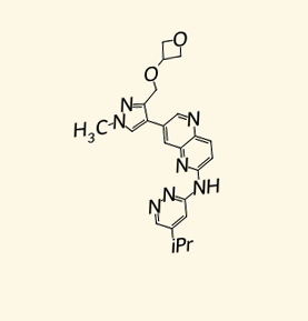 CC(C)c1cnnc(Nc2ccc3ncc(-c4cn(C)nc4COC4COC4)cc3n2)c1